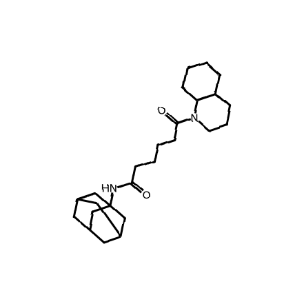 O=C(CCCCC(=O)N1CCCC2CCCCC21)NC12CC3CC(CC(C3)C1)C2